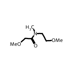 COCCN(C)C(=O)COC